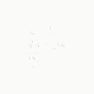 CC(C)Oc1cc(-n2nc(C(C)(C)C)oc2=O)c(Cl)cc1Cl.COc1ncc(F)c2nc(S(=O)(=O)Nc3c(F)cccc3F)nn12